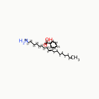 CCCCCCCCC=CCCCCCCCCN.O=C(O)c1ccccc1